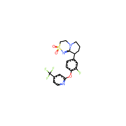 O=S1(=O)CCN2CCCC(c3ccc(Oc4cc(C(F)(F)F)ccn4)c(F)c3)C2=N1